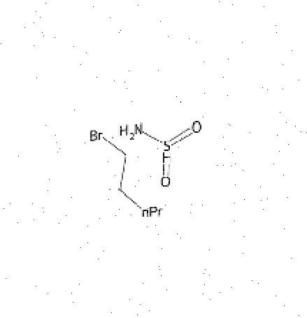 CCCCCBr.N[SH](=O)=O